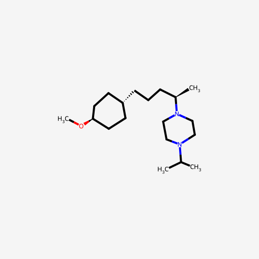 CO[C@H]1CC[C@H](CCC[C@@H](C)N2CCN(C(C)C)CC2)CC1